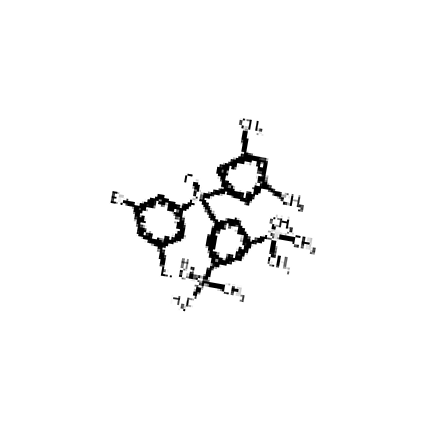 CCc1cc(CC)cc([Si](Cl)(c2cc(C)cc(C)c2)c2cc([Si](C)(C)C)cc([Si](C)(C)C)c2)c1